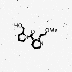 COCCc1ncccc1C(=O)N1CCCC1CO